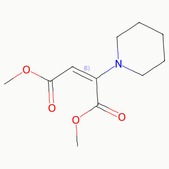 COC(=O)/C=C(\C(=O)OC)N1CCCCC1